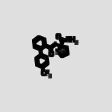 NC(=O)[C@]1([CH]C(=O)c2ccccc2-c2ccc(C(F)(F)F)cc2)CCCN1